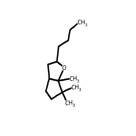 CCCCC1CC2CCC(C)(C)C2(C)O1